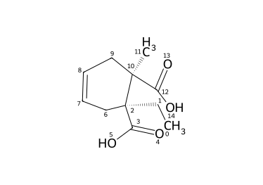 CC[C@]1(C(=O)O)CC=CC[C@@]1(C)C(=O)O